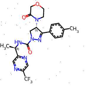 Cc1ccc(C2=NN(C(=O)N[C@H](C)c3cnc(C(F)(F)F)cn3)C[C@@H]2N2CCOCC2=O)cc1